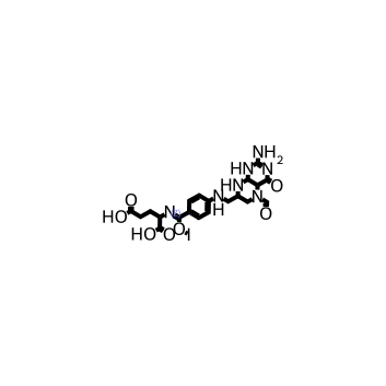 NC1=NC(=O)C2C(N1)NC(CNc1ccc(/C(=N/C(CCC(=O)O)C(=O)O)OI)cc1)CN2C=O